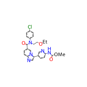 CCOCCN(C(=O)c1ccc2ncc(-c3ccc(NC(=O)OC)nc3)n2c1)c1ccc(Cl)cc1